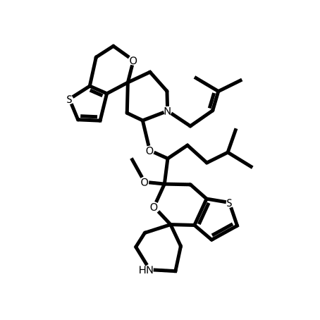 COC1(C(CCC(C)C)OC2CC3(CCN2CC=C(C)C)OCCc2sccc23)Cc2sccc2C2(CCNCC2)O1